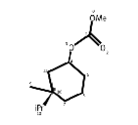 [CH2]OC(=O)OC1CCC[C@@](C)(C(C)C)C1